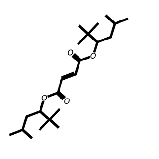 CC(C)CC(OC(=O)/C=C/C(=O)OC(CC(C)C)C(C)(C)C)C(C)(C)C